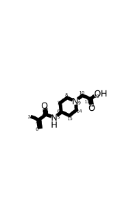 C=C(C)C(=O)NC1CCN(CC(=O)O)CC1